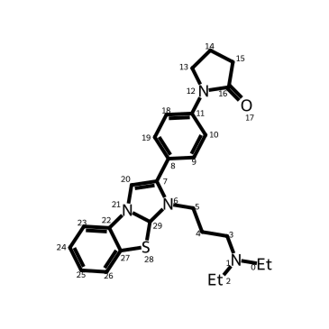 CCN(CC)CCCN1C(c2ccc(N3CCCC3=O)cc2)=CN2c3ccccc3SC12